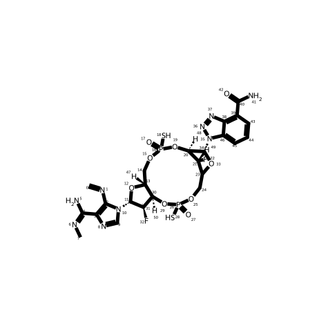 C=Nc1c(/C(N)=N\C)ncn1[C@@H]1O[C@@H]2COP(=O)(S)O[C@@H]3[C@H](F)C(COP(=O)(S)O[C@H]2[C@H]1F)O[C@H]3n1nnc2c(C(N)=O)cccc21